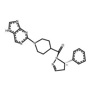 O=C(C1CCN(c2ncc3[nH]cnc3n2)CC1)N1N=CC[C@H]1c1ccccc1